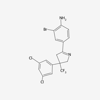 Nc1ccc(C2=NCC(c3cc(Cl)cc(Cl)c3)(C(F)(F)F)C2)cc1Br